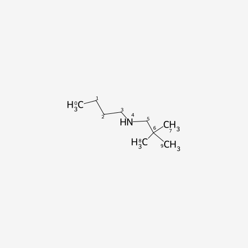 CCCCNCC(C)(C)C